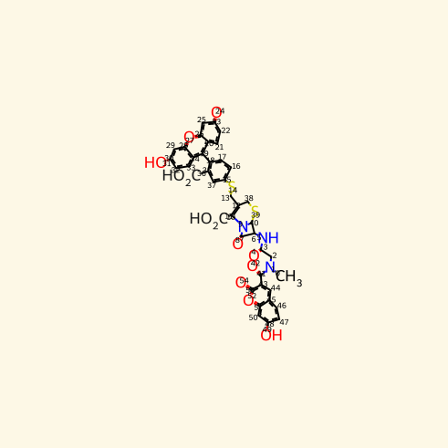 CN(CC(=O)NC1C(=O)N2C(C(=O)O)=C(CSc3ccc(-c4c5ccc(=O)cc-5oc5cc(O)ccc45)c(C(=O)O)c3)CSC12)C(=O)c1cc2ccc(O)cc2oc1=O